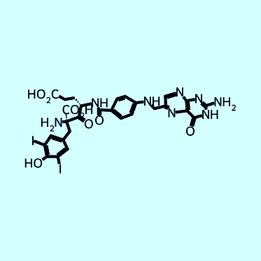 Nc1nc2ncc(CNc3ccc(C(=O)N[C@@H](CCC(=O)O)C(=O)[C@](N)(Cc4cc(I)c(O)c(I)c4)C(=O)O)cc3)nc2c(=O)[nH]1